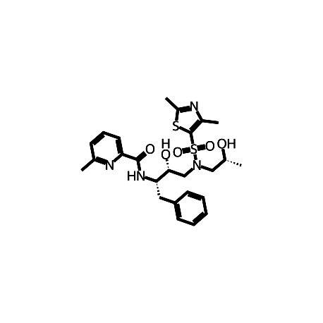 Cc1cccc(C(=O)N[C@@H](Cc2ccccc2)[C@H](O)CN(C[C@@H](C)O)S(=O)(=O)c2sc(C)nc2C)n1